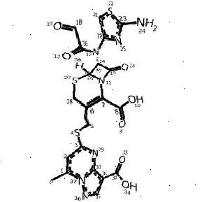 Cc1cc(SCC2=C(C(=O)O)N3C(=O)[C@@H](N(C(=O)C=O)c4csc(N)n4)[C@H]3SC2)nc2c(C(=O)O)cnn12